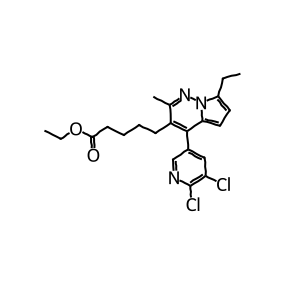 CCOC(=O)CCCCc1c(C)nn2c(CC)ccc2c1-c1cnc(Cl)c(Cl)c1